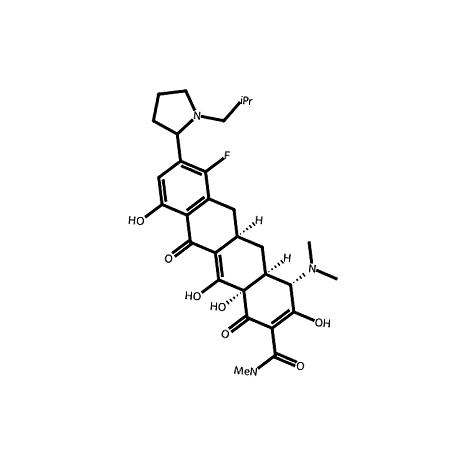 CNC(=O)C1=C(O)[C@@H](N(C)C)[C@@H]2C[C@@H]3Cc4c(F)c(C5CCCN5CC(C)C)cc(O)c4C(=O)C3=C(O)[C@]2(O)C1=O